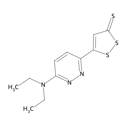 CCN(CC)c1ccc(-c2cc(=S)ss2)nn1